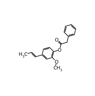 C/C=C/c1ccc(OC(=O)Cc2ccccc2)c(OC)c1